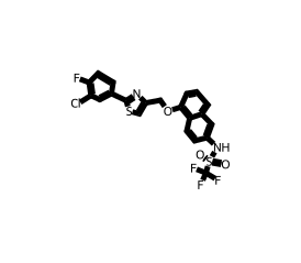 O=S(=O)(Nc1ccc2c(OCc3csc(-c4ccc(F)c(Cl)c4)n3)cccc2c1)C(F)(F)F